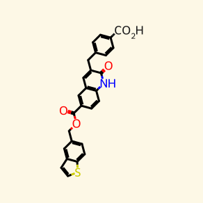 O=C(O)c1ccc(Cc2cc3cc(C(=O)OCc4ccc5sccc5c4)ccc3[nH]c2=O)cc1